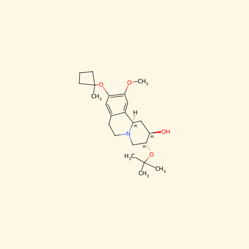 COc1cc2c(cc1OC1(C)CCC1)CCN1C[C@@H](OC(C)(C)C)[C@H](O)C[C@H]21